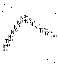 [Ir+4].[Ir+4].[Ir+4].[N-3].[N-3].[N-3].[N-3].[N-3].[N-3].[N-3].[N-3].[Ti+4].[Ti+4].[Ti+4]